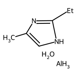 CCc1nc(C)c[nH]1.O.[AlH3]